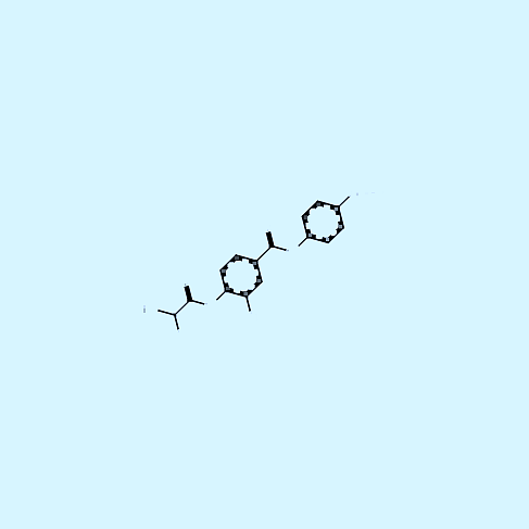 CCCCCCCc1ccc(OC(=O)c2ccc(OC(=O)C(Cl)C(C)C)c(Cl)c2)cc1